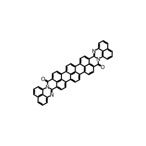 O=c1c2ccc3c4ccc5c6ccc7c8c(ccc(c9ccc(c%10ccc(c2c3%10)c2nc3cccc%10cccc(c%103)n12)c4c95)c68)c(=O)n1c2cccc3cccc(nc71)c32